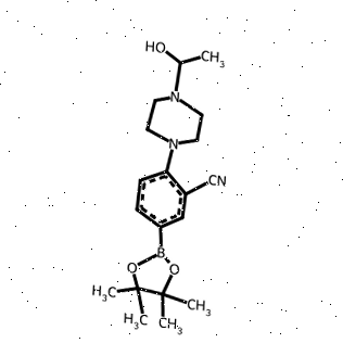 CC(O)N1CCN(c2ccc(B3OC(C)(C)C(C)(C)O3)cc2C#N)CC1